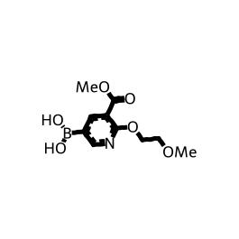 COCCOc1ncc(B(O)O)cc1C(=O)OC